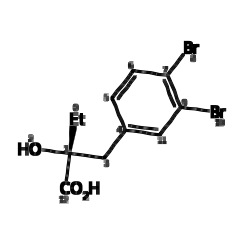 CC[C@@](O)(Cc1ccc(Br)c(Br)c1)C(=O)O